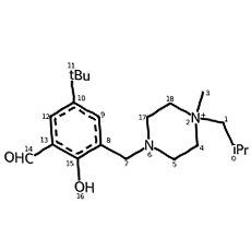 CC(C)C[N+]1(C)CCN(Cc2cc(C(C)(C)C)cc(C=O)c2O)CC1